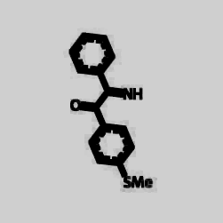 CSc1ccc(C(=O)C(=N)c2ccccc2)cc1